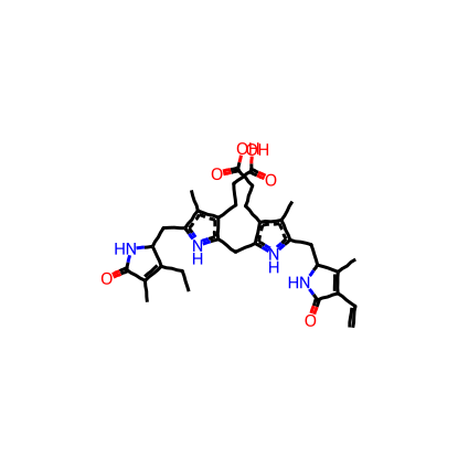 C=CC1=C(C)C(Cc2[nH]c(Cc3[nH]c(CC4NC(=O)C(C)=C4CC)c(C)c3CCC(=O)O)c(CCC(=O)O)c2C)NC1=O